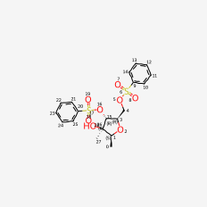 C[C@@H]1O[C@H](COS(=O)(=O)c2ccccc2)[C@@H](OS(=O)(=O)c2ccccc2)[C@]1(C)O